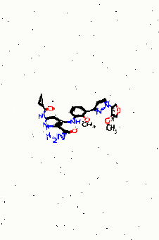 COc1c(Nc2cc(NC(=O)C3CC3)nnc2C(N)=O)cccc1-c1ccn([C@H]2COC[C@@H]2OC)n1